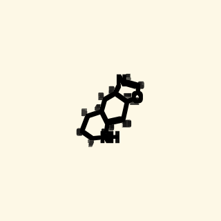 C1=NC2CC3CCCNC3=CC2O1